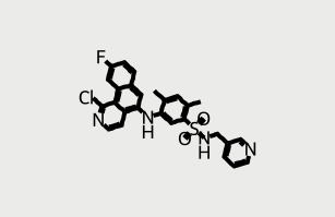 Cc1cc(C)c(S(=O)(=O)NCc2cccnc2)cc1Nc1cc2ccc(F)cc2c2c(Cl)nccc12